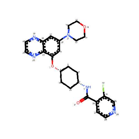 O=C(N[C@H]1CC[C@@H](Oc2cc(N3CCOCC3)cc3nccnc23)CC1)c1ccncc1F